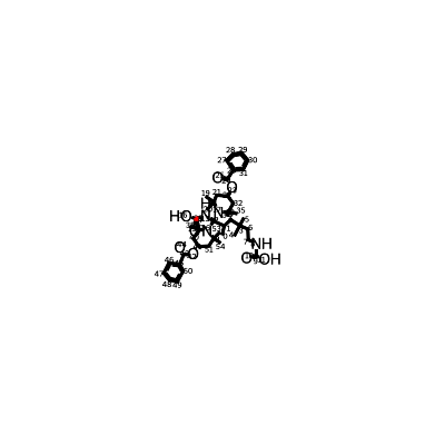 CC(CC(C)(C)CCNC(=O)O)C(NC(=O)O)(N1C(C)(C)CC(OC(=O)c2ccccc2)CC1(C)C)N1C(C)(C)CC(OC(=O)c2ccccc2)CC1(C)C